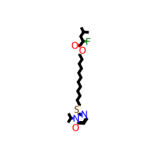 CC(C)CC(F)C(=O)OCCCCCCCCCCCCSc1nccc(=O)n1C(C)C